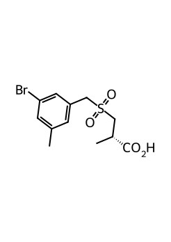 Cc1cc(Br)cc(CS(=O)(=O)C[C@@H](C)C(=O)O)c1